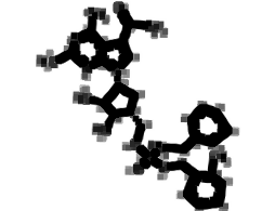 Cc1nc(N)c2c(C(N)=O)cn([C@@H]3C[C@H](COP(=O)(NCc4ccccc4)OCc4ccccc4C)[C@@H](O)[C@H]3O)c2n1